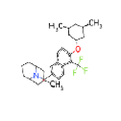 CC1CC2CCCC(C1)N2Cc1ccc2c(C(F)(F)F)c(O[C@H]3C[C@H](C)C[C@H](C)C3)ccc2c1